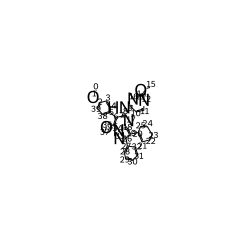 COc1ccc(-c2c(Nc3ccnc(OC)n3)nc3c(C4=CCCCC4)c(-c4ccccc4)nn3c2OC)cc1